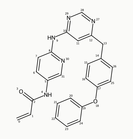 C=CC(=O)Nc1ccc(Nc2cc(Cc3ccc(Oc4ccccc4)cc3)ncn2)nc1